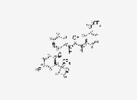 O=C(Nc1cccc(OC(F)(F)F)c1)Nc1cccnc1Oc1ccc(F)cc1C1(C(F)(F)F)CCO1